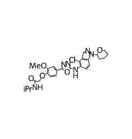 COc1cc(-c2nnc(Nc3ccc4c(cnn4C4CCCCO4)c3Cl)o2)ccc1OCC(=O)NC(C)C